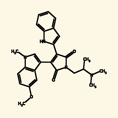 COc1ccc2c(c1)c(C1=C(c3cc4ccccc4[nH]3)C(=O)N(CC(C)N(C)C)C1=O)cn2C